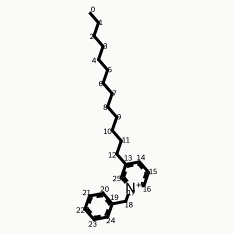 CCCCCCCCCCCCCc1ccc[n+](Cc2ccccc2)c1